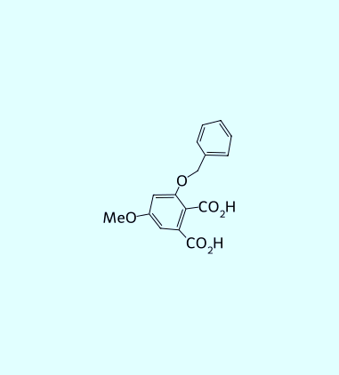 COc1cc(OCc2ccccc2)c(C(=O)O)c(C(=O)O)c1